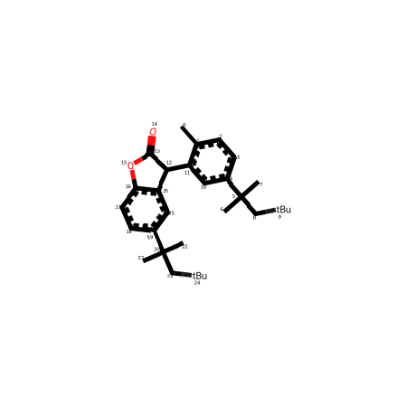 Cc1ccc(C(C)(C)CC(C)(C)C)cc1C1C(=O)Oc2ccc(C(C)(C)CC(C)(C)C)cc21